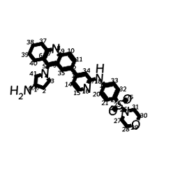 N[C@H]1CCN(c2c3c(nc4ccc(-c5ccnc(Nc6ccc(S(=O)(=O)N7CCOCC7)cc6)c5)cc24)CCCC3)C1